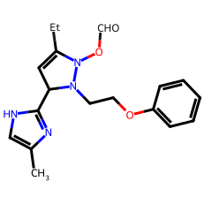 CCC1=CC(c2nc(C)c[nH]2)N(CCOc2ccccc2)N1OC=O